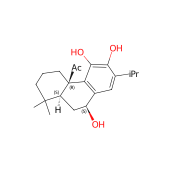 CC(=O)[C@]12CCCC(C)(C)[C@@H]1C[C@H](O)c1cc(C(C)C)c(O)c(O)c12